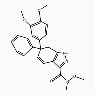 COc1ccc(C2(c3ccccc3)C=Cc3c(C(=O)N(C)OC)n[nH]c3C2)cc1OC